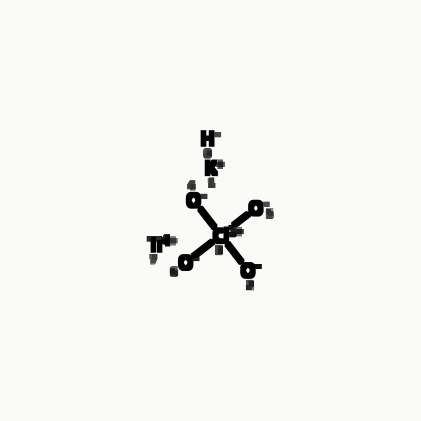 [H-].[K+].[O-][Cl+3]([O-])([O-])[O-].[Ti+4]